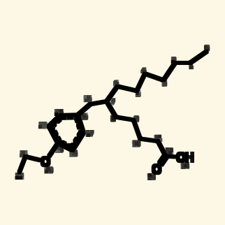 CCCCCCCC(CCCCC(=O)O)Cc1ccc(OCC)cc1